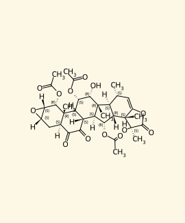 CC(=O)O[C@@H]1[C@H]2[C@@H]3C(=O)C(=O)[C@H]4C[C@@H]5O[C@@H]5[C@H](OC(C)=O)[C@]4(C)[C@H]3[C@H](OC(C)=O)[C@H](O)[C@]2(C)[C@@H]2[C@@H]1[C@]1(C)C(=C[C@H]2C)OC(=O)[C@@]1(C)O